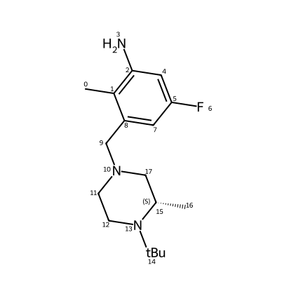 Cc1c(N)cc(F)cc1CN1CCN(C(C)(C)C)[C@@H](C)C1